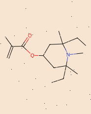 C=C(C)C(=O)OC1CC(C)(CC)N(C)C(C)(CC)C1